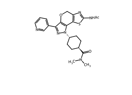 CC(=O)Nc1nc2c(s1)-c1c(c(-c3cccnc3)nn1[C@H]1CC[C@H](C(=O)N(C)C)CC1)OC2